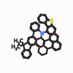 CC1(C)c2ccccc2-c2ccc(-c3ccccc3N(c3cccc4sc5ccccc5c34)C3CC=CC=C3c3cccc4cccc(C5CCCCC5)c34)cc21